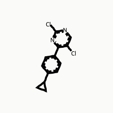 Clc1ncc(Cl)c(-c2ccc(C3CC3)cc2)n1